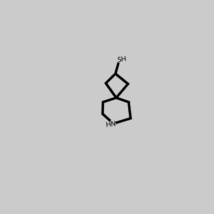 SC1CC2(CCNCC2)C1